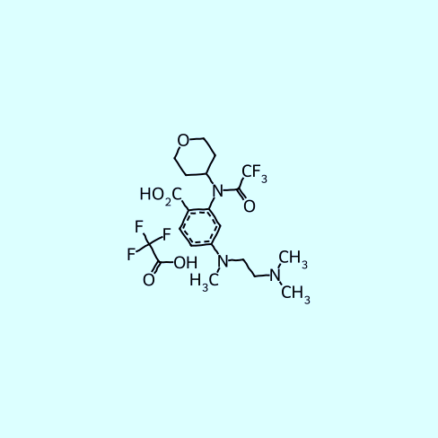 CN(C)CCN(C)c1ccc(C(=O)O)c(N(C(=O)C(F)(F)F)C2CCOCC2)c1.O=C(O)C(F)(F)F